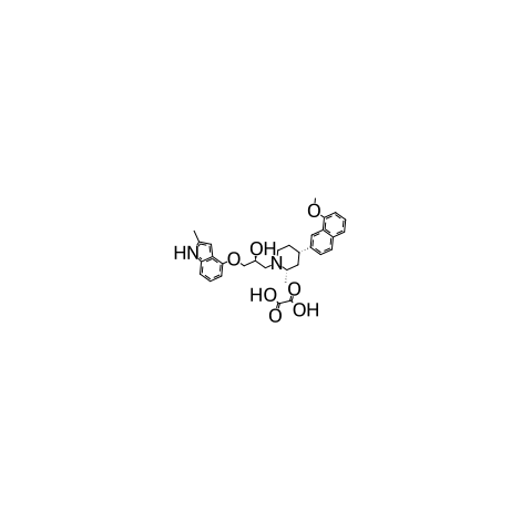 COc1cccc2ccc([C@H]3CCN(C[C@H](O)COc4cccc5[nH]c(C)cc45)[C@@H](C)C3)cc12.O=C(O)C(=O)O